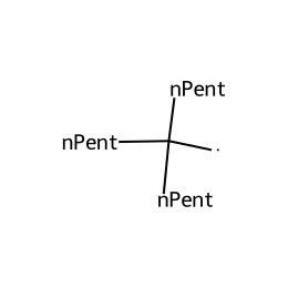 [CH2]C(CCCCC)(CCCCC)CCCCC